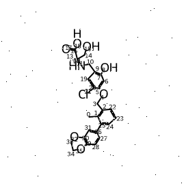 Cc1c(COc2cc(O)c(CN[C@](C)(CO)C(=O)O)cc2Cl)cccc1-c1ccc2c(c1)OCCO2